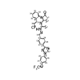 O=C1CS/C(=N\C(=S)N/N=C/c2ccc(-c3ncn(-c4ccc(OC(F)(F)F)cc4)n3)cc2)N1c1ccccc1/C=C/C(F)(F)F